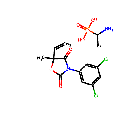 C=CC1(C)OC(=O)N(c2cc(Cl)cc(Cl)c2)C1=O.CCC(N)P(=O)(O)O